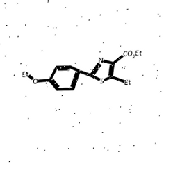 CCOC(=O)c1nc(-c2ccc(OCC)cc2)sc1CC